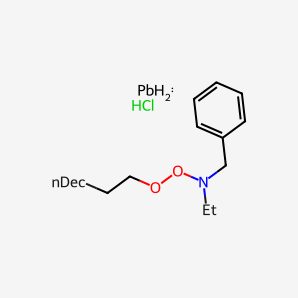 CCCCCCCCCCCCOON(CC)Cc1ccccc1.Cl.[PbH2]